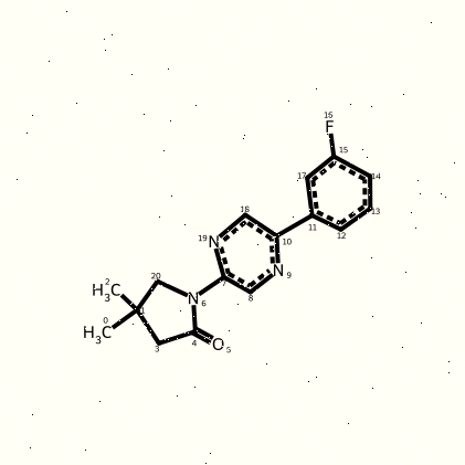 CC1(C)CC(=O)N(c2cnc(-c3cccc(F)c3)cn2)C1